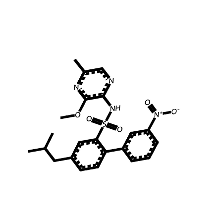 COc1nc(C)cnc1NS(=O)(=O)c1cc(CC(C)C)ccc1-c1cccc([N+](=O)[O-])c1